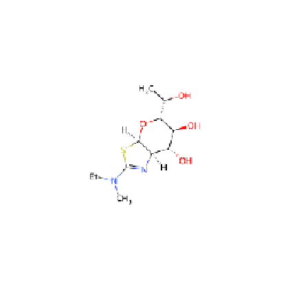 CCN(C)C1=N[C@@H]2[C@@H](O)[C@H](O)[C@@H](C(C)O)O[C@@H]2S1